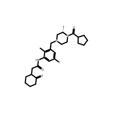 Cc1c(CN2CCN(C(=O)C3CCCC3)[C@@H](C)C2)cc(F)cc1NC(=O)CC1CCCCC1=O